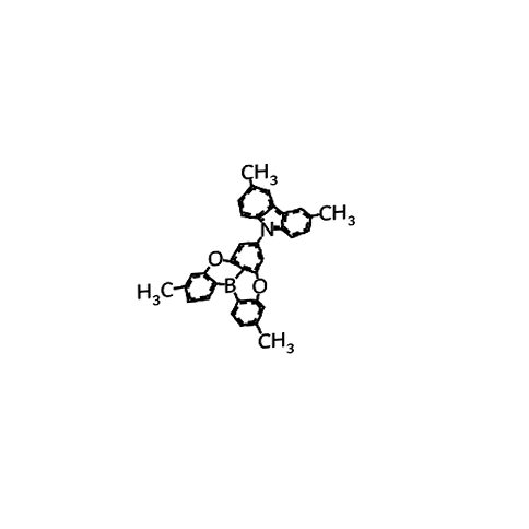 Cc1ccc2c(c1)Oc1cc(-n3c4ccc(C)cc4c4cc(C)ccc43)cc3c1B2c1ccc(C)cc1O3